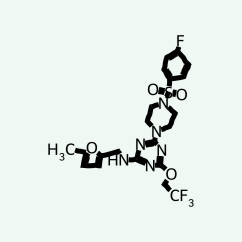 Cc1ccc(CNc2nc(OCC(F)(F)F)nc(N3CCN(S(=O)(=O)c4ccc(F)cc4)CC3)n2)o1